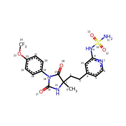 CC1(CCc2ccnc(NS(N)(=O)=O)c2)NC(=O)N(c2ccc(OC(F)(F)F)cc2)C1=O